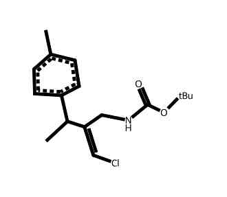 Cc1ccc(C(C)/C(=C/Cl)CNC(=O)OC(C)(C)C)cc1